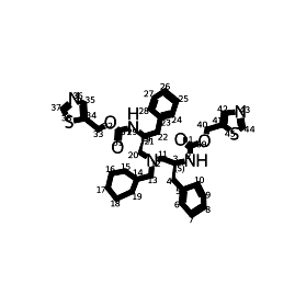 O=C(N[C@@H](Cc1ccccc1)CN(CC1CCCCC1)C[C@H](Cc1ccccc1)NC(=O)OCc1cncs1)OCc1cncs1